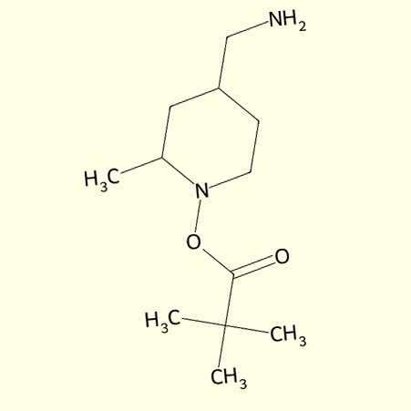 CC1CC(CN)CCN1OC(=O)C(C)(C)C